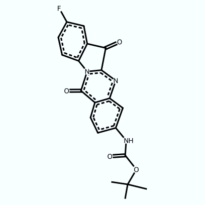 CC(C)(C)OC(=O)Nc1ccc2c(=O)n3c(nc2c1)C(=O)c1cc(F)ccc1-3